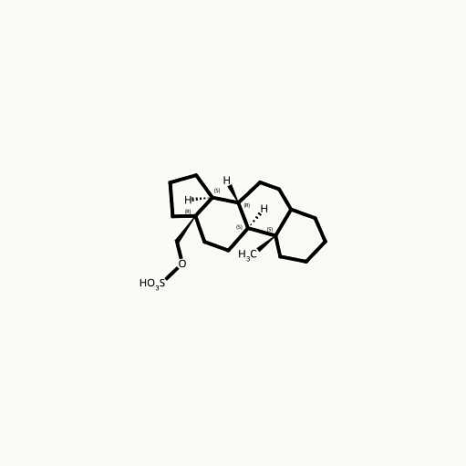 C[C@]12CCCCC1CC[C@H]1[C@@H]3CCC[C@@]3(COS(=O)(=O)O)CC[C@@H]12